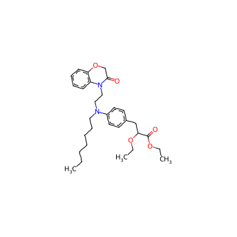 CCCCCCCN(CCN1C(=O)COc2ccccc21)c1ccc(CC(OCC)C(=O)OCC)cc1